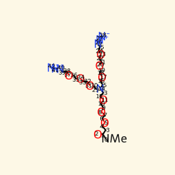 CNC(=O)CCOCCOCCOCCN(CCOCCOCCOCCN=[N+]=[N-])CCOCCOCCOCCN=[N+]=[N-]